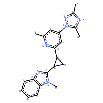 Cc1cc(-n2nc(C)nc2C)cc(C2CC2c2nc3ccccc3n2C)n1